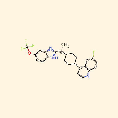 C[C@@H](c1nc2cc(OC(F)(F)F)ccc2[nH]1)C1CCC(c2ccnc3ccc(F)cc23)CC1